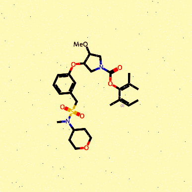 C/C=C(/C)C(OC(=O)N1CC(OC)C(Oc2cccc(CS(=O)(=O)N(C)C3CCOCC3)c2)C1)=C(C)C